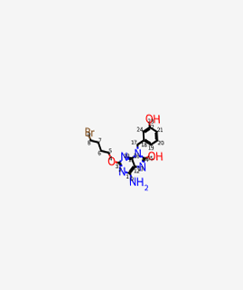 Nc1nc(OCCCCBr)nc2c1nc(O)n2Cc1cccc(O)c1